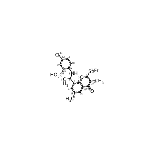 CCSc1oc2c(C(C)Nc3ccc(Cl)cc3C(=O)O)cc(C)cc2c(=O)c1C